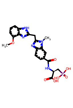 COc1cccc2[nH]c(Cc3nc4ccc(C(=O)N[C@@H](CP(=O)(O)O)C(=O)O)cc4n3C)nc12